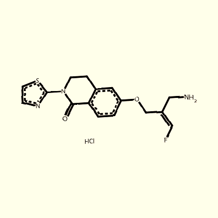 Cl.NC/C(=C/F)COc1ccc2c(c1)CCN(c1nccs1)C2=O